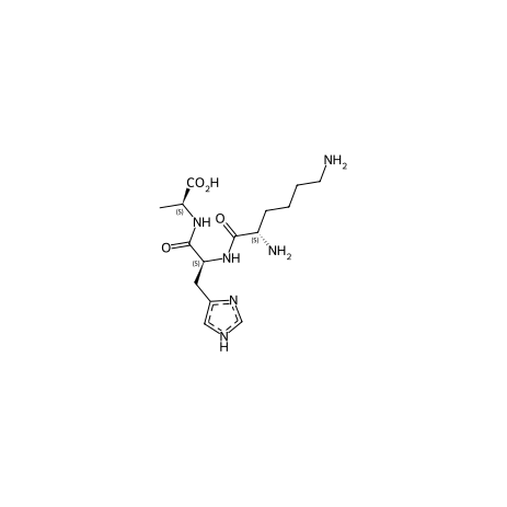 C[C@H](NC(=O)[C@H](Cc1c[nH]cn1)NC(=O)[C@@H](N)CCCCN)C(=O)O